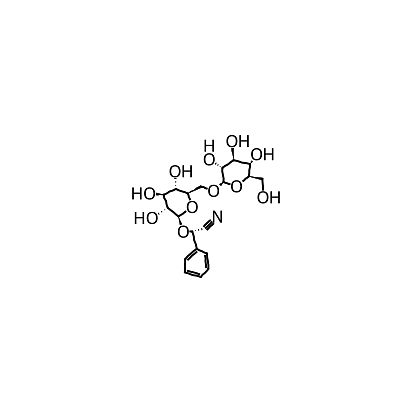 N#C[C@@H](O[C@@H]1O[C@H](CO[C@@H]2O[C@H](CO)[C@@H](O)[C@H](O)[C@H]2O)[C@@H](O)[C@H](O)[C@H]1O)c1ccccc1